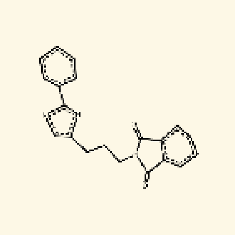 O=C1c2ccccc2C(=O)N1CCCc1c[nH]c(-c2ccccc2)n1